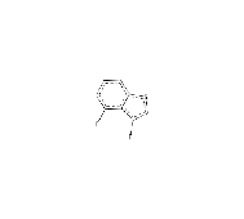 Fc1cccc2scc(F)c12